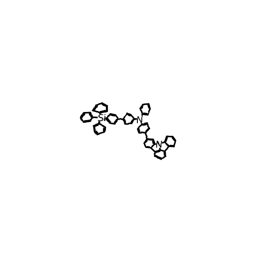 c1ccc(N(c2ccc(-c3ccc([Si](c4ccccc4)(c4ccccc4)c4ccccc4)cc3)cc2)c2ccc(-c3ccc4c5cccc6c7ccccc7n(c4c3)c65)cc2)cc1